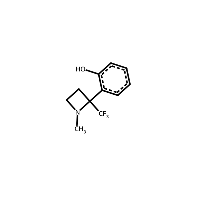 CN1CCC1(c1ccccc1O)C(F)(F)F